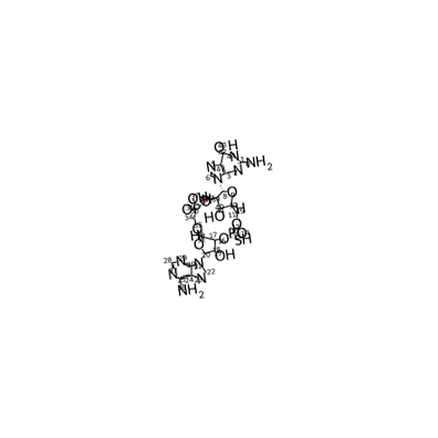 Nc1nc2c(ncn2[C@@H]2O[C@@H]3COP(=O)(S)OC4C(O)[C@H](n5cnc6c(N)ncnc65)O[C@@H]4OCP(=O)(O)O[C@H]2C3O)c(=O)[nH]1